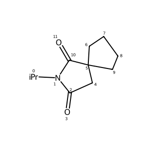 CC(C)N1C(=O)CC2(CCCC2)C1=O